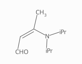 CC(=CC=O)N(C(C)C)C(C)C